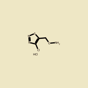 Cl.NOCc1snnc1Cl